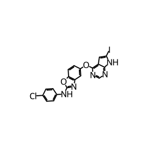 Clc1ccc(Nc2nc3cc(Oc4ncnc5[nH]c(I)cc45)ccc3o2)cc1